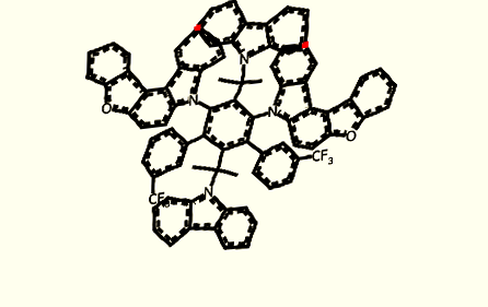 CC(C)(c1c(-c2cccc(C(F)(F)F)c2)c(-n2c3ccccc3c3c4c(ccc32)oc2ccccc24)c(C(C)(C)n2c3ccccc3c3ccccc32)c(-n2c3ccccc3c3c4c(ccc32)oc2ccccc24)c1-c1cccc(C(F)(F)F)c1)n1c2ccccc2c2ccccc21